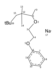 CC(OCCOc1ccccc1)C(C)(C)CC(C)(C)C.[Na]